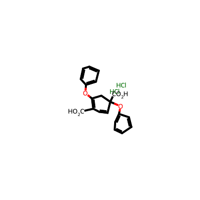 Cl.Cl.O=C(O)C1=C(Oc2ccccc2)CC(Oc2ccccc2)(C(=O)O)C=C1